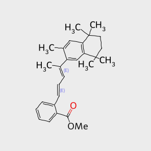 COC(=O)c1ccccc1/C=C/C=C(\C)c1cc2c(cc1C)C(C)(C)CCC2(C)C